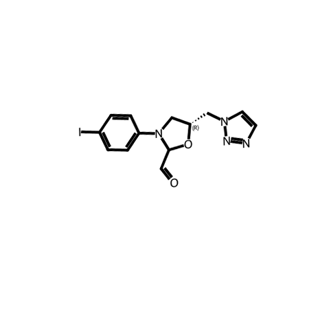 O=CC1O[C@@H](Cn2ccnn2)CN1c1ccc(I)cc1